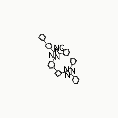 N#Cc1ccccc1-c1nc(-c2ccc(-c3ccccc3)cc2)nc(-c2cccc(-c3cccc(-c4nc(-c5ccccc5)nc(-c5ccccc5)n4)c3)c2)n1